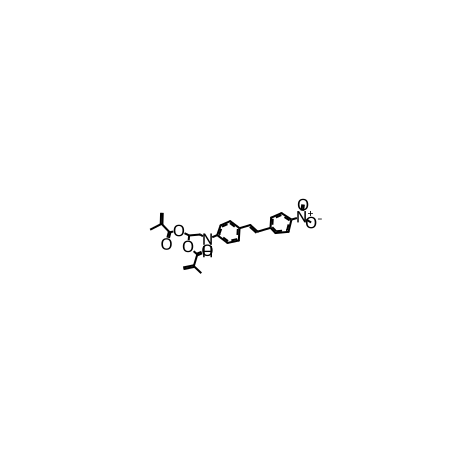 C=C(C)C(=O)OC(CNc1ccc(C=Cc2ccc([N+](=O)[O-])cc2)cc1)OC(=O)C(=C)C